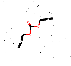 C=C=COC(=O)OC=C=C